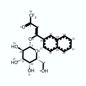 O=C(C=C(O[C@@H]1O[C@H](CO)[C@H](O)[C@H](O)[C@H]1O)c1ccc2ccccc2c1)C(F)(F)F